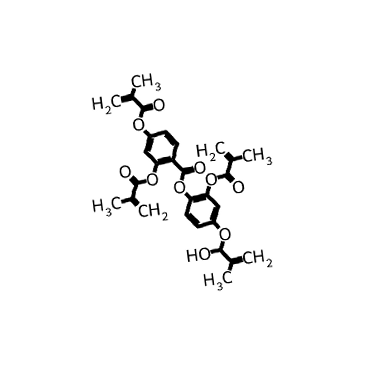 C=C(C)C(=O)Oc1ccc(C(=O)Oc2ccc(OC(O)C(=C)C)cc2OC(=O)C(=C)C)c(OC(=O)C(=C)C)c1